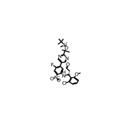 COc1cccc(Cl)c1[C@@H](CC=O)Nc1cc(-c2cnc(C(C)(C)O[Si](C)(C)C(C)(C)C)nc2)c(F)cc1[N+](=O)[O-]